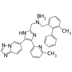 BN(Cc1nc(-c2cccc(C)n2)c(-c2ccc3ncnn3c2)[nH]1)Cc1cccc(C)c1-c1ccccc1